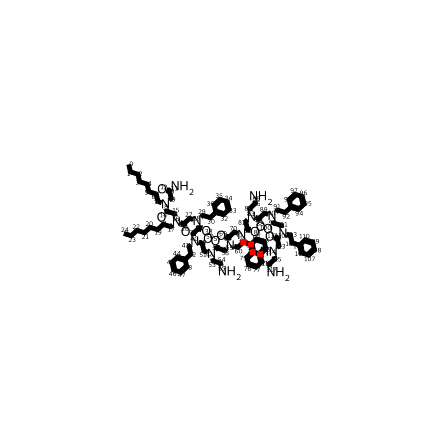 CCCCCCCCN(CC(N)=O)C(=O)CN(CCCCCCCC)C(=O)CN(CCc1ccccc1)C(=O)CN(CCc1ccccc1)C(=O)CN(CCN)C(=O)CN(CCc1ccccc1)C(=O)CN(CCc1ccccc1)C(=O)CN(CCN)C(=O)CN(CCc1ccccc1)C(=O)CN(CCc1ccccc1)C(=O)CNCCN